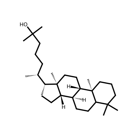 C[C@H](CCCC(C)(C)O)[C@H]1CC[C@H]2[C@@H]3CCC4C(C)(C)CCC[C@]4(C)[C@H]3CC[C@]12C